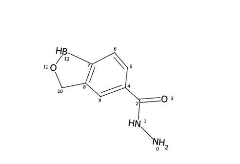 NNC(=O)c1ccc2c(c1)COB2